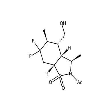 CC(=O)N1[C@H](C)[C@H]2[C@@H](CO)[C@H](C)C(F)(F)C[C@H]2S1(=O)=O